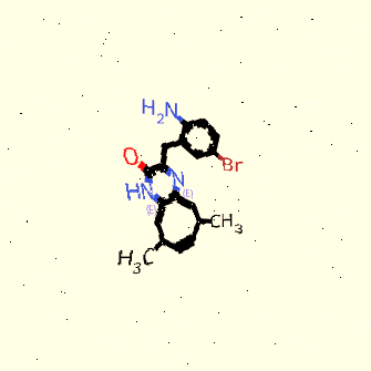 CC1C#CC(C)/C=c2/[nH]c(=O)c(Cc3cc(Br)ccc3N)n/c2=C/1